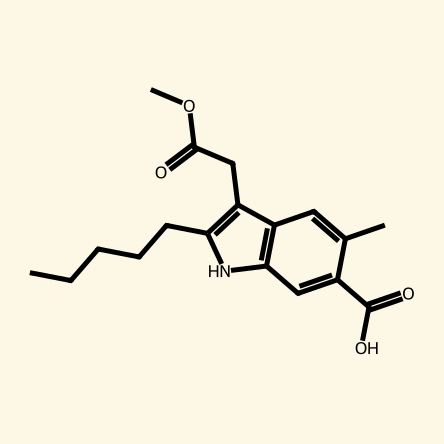 CCCCCc1[nH]c2cc(C(=O)O)c(C)cc2c1CC(=O)OC